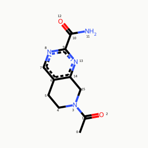 CC(=O)N1CCc2[c]nc(C(N)=O)nc2C1